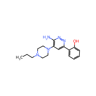 CCCN1CCN(c2cc(-c3ccccc3O)nnc2N)CC1